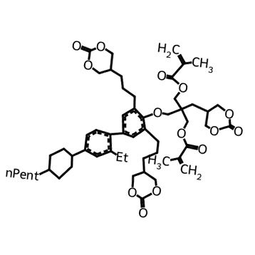 C=C(C)C(=O)OCC(COC(=O)C(=C)C)(COc1c(CCCC2COC(=O)OC2)cc(-c2ccc(C3CCC(CCCCC)CC3)cc2CC)cc1CCCC1COC(=O)OC1)CC1COC(=O)OC1